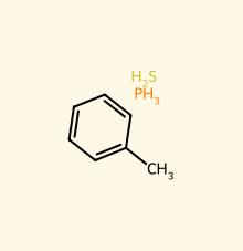 Cc1ccccc1.P.S